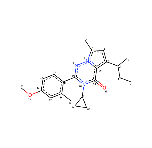 CCC(C)c1cc(C)n2nc(-c3ccc(OC)cc3C)n(C3CC3)c(=O)c12